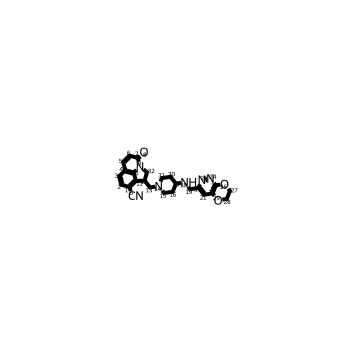 N#Cc1ccc2ccc(=O)n3c2c1C(CN1CCC(NCc2cc4c(nn2)OCCO4)CC1)C3